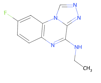 CCNc1nc2ccc(F)cc2n2cnnc12